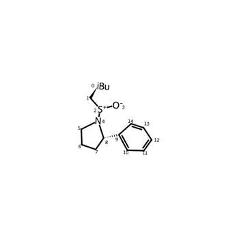 CC[C@H](C)C[S+]([O-])N1CCC[C@H]1c1ccccc1